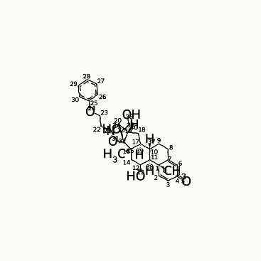 C[C@]12C=CC(=O)C=C1CC[C@@H]1[C@@H]2[C@@H](O)C[C@@]2(C)[C@H]1C[C@H]1CN(CCOc3ccccc3)O[C@]12C(O)CO